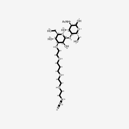 CC(=O)N[C@H]1C(O)O[C@H](CO)[C@@H](O[C@@H]2O[C@H](CO)[C@@H](O)[C@H](OCCOCCCOCCOCCN=[N+]=[N-])[C@@H]2O)[C@@H]1O